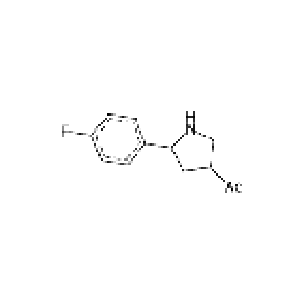 CC(=O)C1CNC(c2ccc(F)cc2)C1